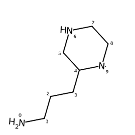 NCCCC1CNCC[N]1